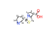 O=C(O)c1ccn2c1CS[C@@H]2c1cccnc1